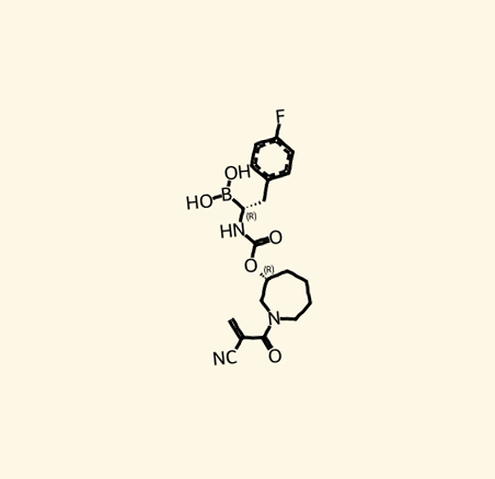 C=C(C#N)C(=O)N1CCCC[C@@H](OC(=O)N[C@@H](Cc2ccc(F)cc2)B(O)O)C1